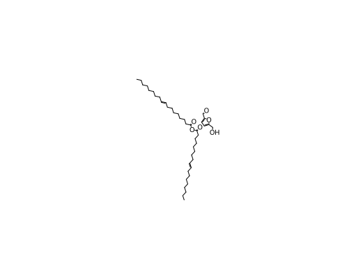 CCCCCCCCC=CCCCCCCCC(=O)OC(=O)CCCCCCCC=CCCCCCCCC.O=Cc1ccc(CO)o1